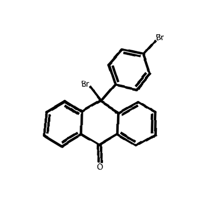 O=C1c2ccccc2C(Br)(c2ccc(Br)cc2)c2ccccc21